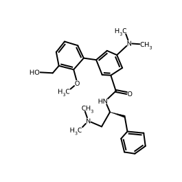 COc1c(CO)cccc1-c1cc(C(=O)N[C@@H](Cc2ccccc2)CN(C)C)cc(N(C)C)c1